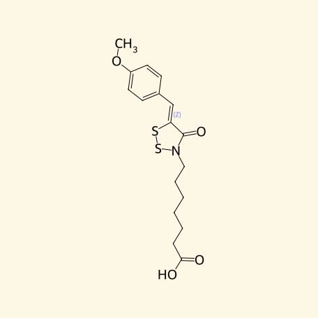 COc1ccc(/C=C2\SSN(CCCCCCC(=O)O)C2=O)cc1